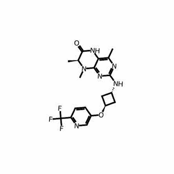 Cc1nc(N[C@H]2C[C@H](Oc3ccc(C(F)(F)F)nc3)C2)nc2c1NC(=O)[C@H](C)N2C